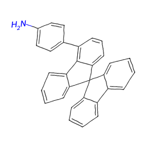 Nc1ccc(-c2cccc3c2-c2ccccc2C32c3ccccc3-c3ccccc32)cc1